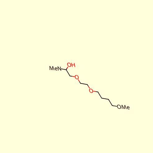 CNC(O)COCCOCCCCOC